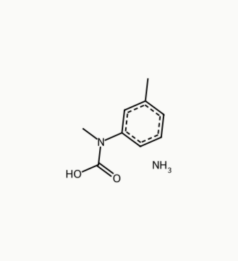 Cc1cccc(N(C)C(=O)O)c1.N